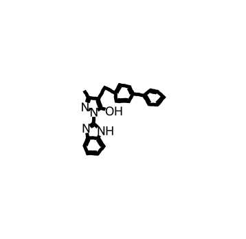 Cc1nn(-c2nc3ccccc3[nH]2)c(O)c1Cc1ccc(-c2ccccc2)cc1